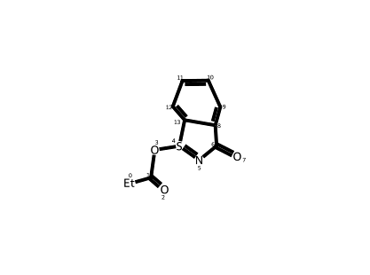 CCC(=O)OS1=NC(=O)c2ccccc21